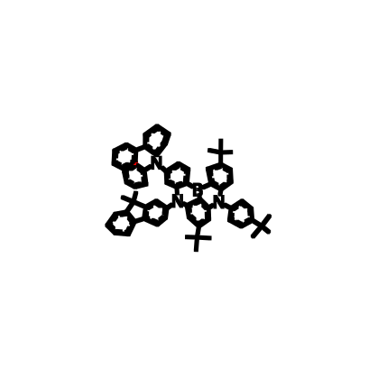 CC(C)(C)c1ccc(N2c3ccc(C(C)(C)C)cc3B3c4ccc(N(c5ccccc5)c5ccccc5-c5ccccc5)cc4N(c4ccc5c(c4)C(C)(C)c4ccccc4-5)c4cc(C(C)(C)C)cc2c43)cc1